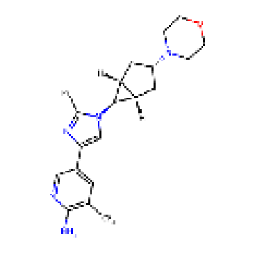 CC(C)c1nc(-c2cnc(N)c(C(F)(F)F)c2)cn1[C@H]1[C@@H]2C[C@H](N3CCOCC3)C[C@@H]21